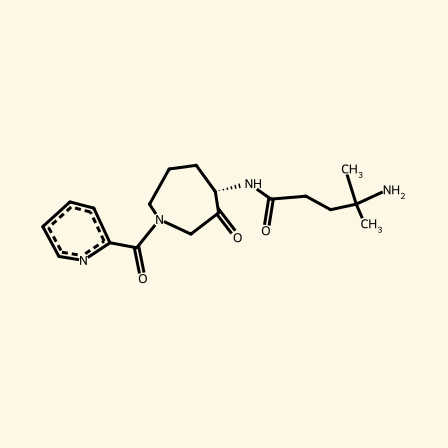 CC(C)(N)CCC(=O)N[C@H]1CCCN(C(=O)c2ccccn2)CC1=O